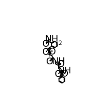 NC(=O)c1ccccc1CS(=O)(=O)C[CH]C(=O)NCC(=O)CNS(=O)(=O)c1ccccc1